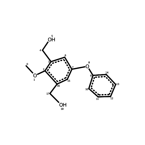 COc1c(CO)cc(Oc2ccccc2)cc1CO